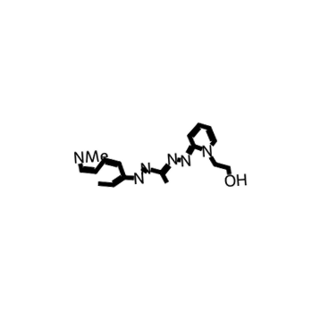 C/C=C(\C=C/C=C\NC)/N=N/C(C)=N/N=c1\ccccn1CCO